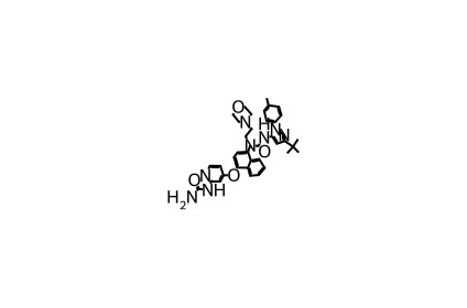 Cc1ccc(-n2nc(C(C)(C)C)cc2NC(=O)N(CCN2CCOCC2)c2ccc(Oc3ccnc(NC(N)=O)c3)c3ccccc23)cc1